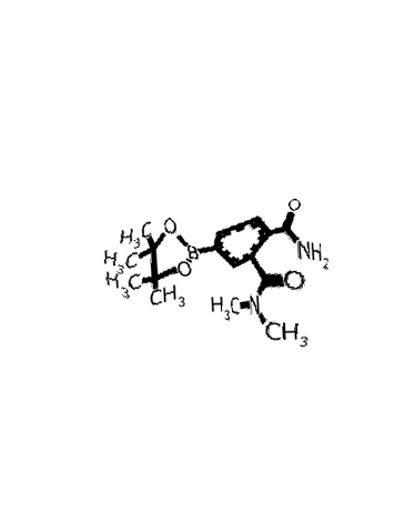 CN(C)C(=O)c1cc(B2OC(C)(C)C(C)(C)O2)ccc1C(N)=O